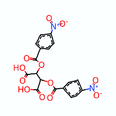 O=C(OC(C(=O)O)C(OC(=O)c1ccc([N+](=O)[O-])cc1)C(=O)O)c1ccc([N+](=O)[O-])cc1